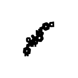 Cc1c(C(=O)NCc2ccncc2)oc2c1-c1nn(Cc3ccc(Cl)cc3)cc1CC2